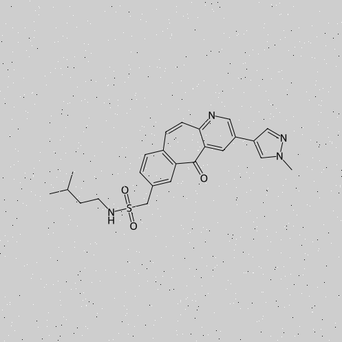 CC(C)CCNS(=O)(=O)Cc1ccc2ccc3ncc(-c4cnn(C)c4)cc3c(=O)c2c1